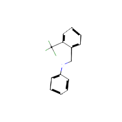 FC(F)(F)c1ccccc1CNc1cc[c]cc1